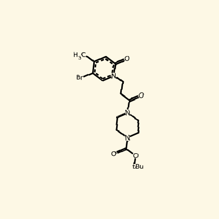 Cc1cc(=O)n(CCC(=O)N2CCN(C(=O)OC(C)(C)C)CC2)cc1Br